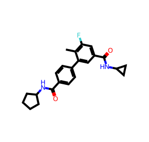 Cc1c(F)cc(C(=O)NC2CC2)cc1-c1ccc(C(=O)NC2CCCC2)cc1